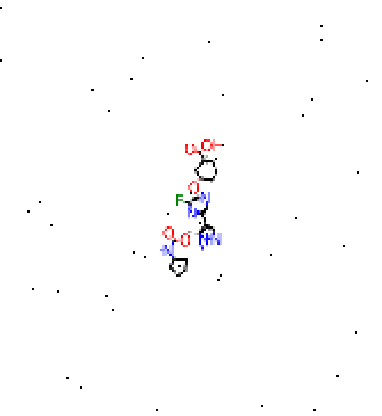 CN(C(=O)OCc1c(-c2cnc(OC3CCC[C@H](C(=O)O)C3)c(F)n2)cnn1C)C1CCCC1